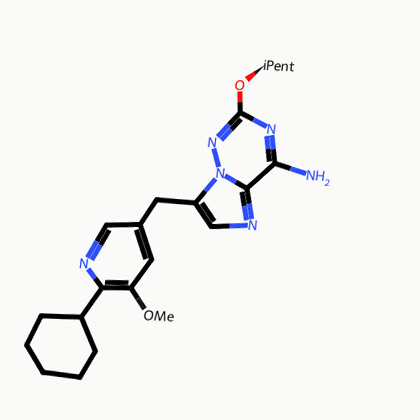 CCC[C@H](C)Oc1nc(N)c2ncc(Cc3cnc(C4CCCCC4)c(OC)c3)n2n1